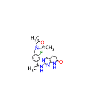 C[C@@H]1CN(Cc2ccc([C@H](C)Nc3ncc4ccc(=O)[nH]c4n3)cc2F)C[C@H](C)O1